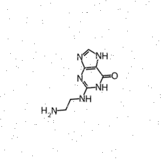 NCCNc1nc2nc[nH]c2c(=O)[nH]1